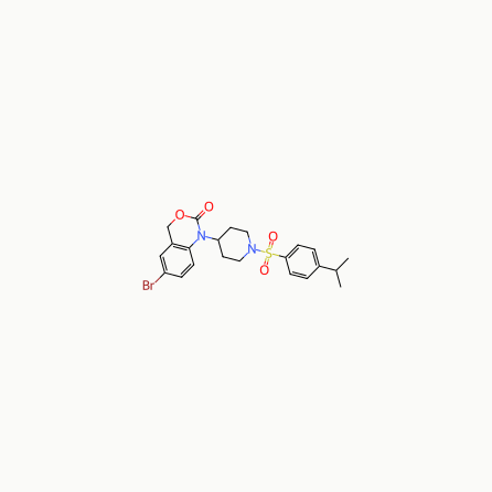 CC(C)c1ccc(S(=O)(=O)N2CCC(N3C(=O)OCc4cc(Br)ccc43)CC2)cc1